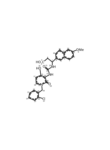 COc1ccc2cc(C(CC(=O)O)NC(=O)Nc3c(O)ccn(Cc4ccccc4Cl)c3=O)ccc2c1